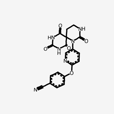 N#Cc1ccc(Oc2ccc(N3C(=O)NCCC34C(=O)NC(=O)NC4=O)cn2)cc1